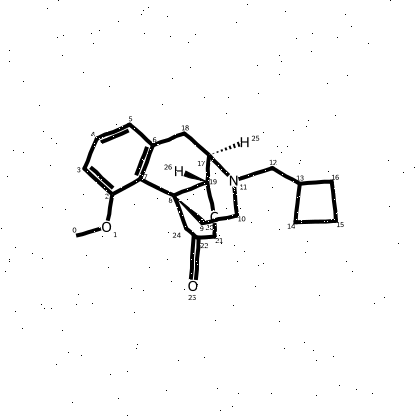 COc1cccc2c1[C@]13CCN(CC4CCC4)[C@H](C2)[C@@H]1CCC(=O)C3